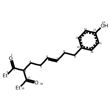 CCC(=O)C(CCC=CCCc1ccc(O)cc1)C(=O)CC